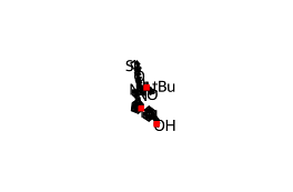 CC(C)(C)C(=O)c1cn(COCC[Si](C)(C)C)c2ncc(-c3cccc(N4CCN(CCO)CC4)c3)nc12